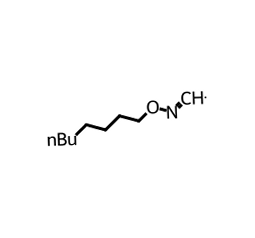 [CH]=NOCCCCCCCC